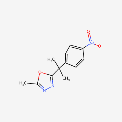 Cc1nnc(C(C)(C)c2ccc([N+](=O)[O-])cc2)o1